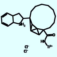 O=C([NH][Ti+2])C12CCCCCCCCC3(C4CC5C=CC=CC5[SiH2]4)C4C15C2C435.[Cl-].[Cl-]